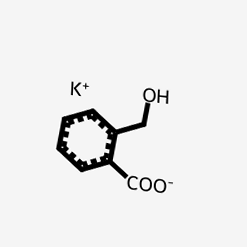 O=C([O-])c1ccccc1CO.[K+]